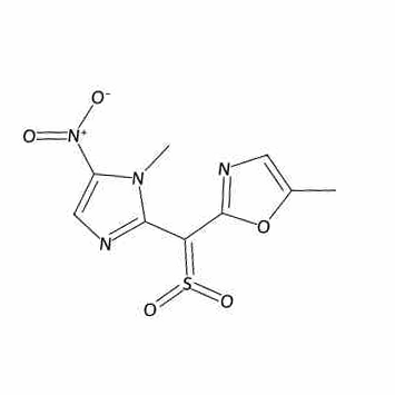 Cc1cnc(C(c2ncc([N+](=O)[O-])n2C)=S(=O)=O)o1